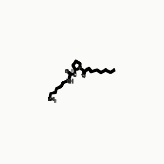 CCCCCCCC(=O)N1CCC[C@@H]1OC(=O)NCCCCCN